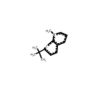 C[n+]1cccc2ccc(C(C)(C)C)cc21